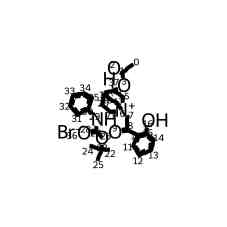 CC(=O)O[C@H]1C[N+]2(CC(=O)c3ccccc3O)CCC1CC2.CC(C)(C)OC(=O)Nc1ccccc1.[Br-]